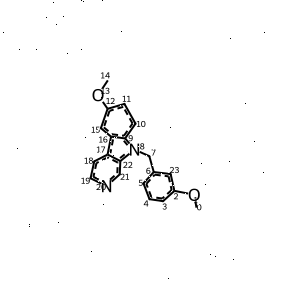 COc1cccc(Cn2c3ccc(OC)cc3c3ccncc32)c1